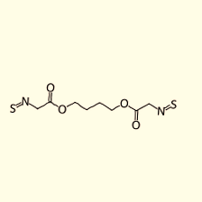 O=C(CN=S)OCCCCOC(=O)CN=S